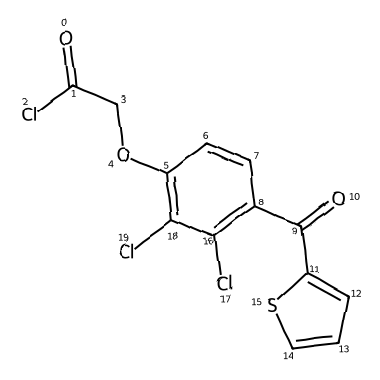 O=C(Cl)COc1ccc(C(=O)c2cccs2)c(Cl)c1Cl